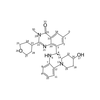 Cc1cc([C@@H](C)Nc2ccccc2N2CCC(O)CC2)c2nc(C3CCOCC3)n(C)c(=O)c2c1